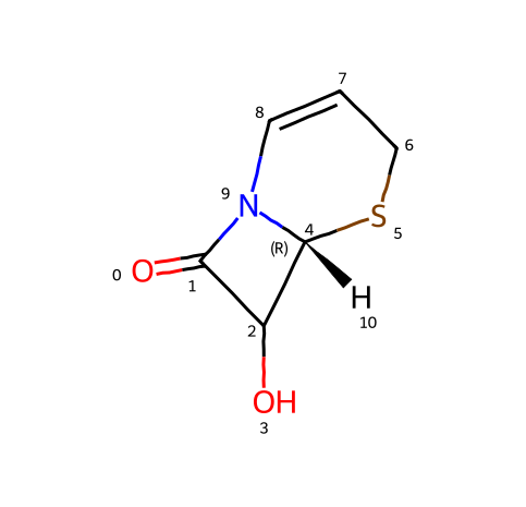 O=C1C(O)[C@H]2SCC=CN12